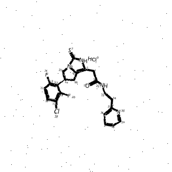 Cl.O=C(Cc1[nH]c(=S)n2c1C[C@@H](c1c(F)ccc(Cl)c1F)C2)NCCc1ccccn1